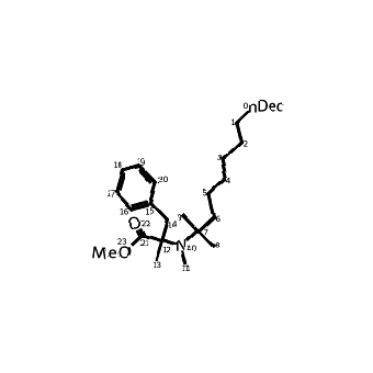 CCCCCCCCCCCCCCCCC(C)(C)N(C)C(C)(Cc1ccccc1)C(=O)OC